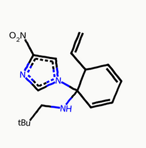 C=CC1C=CC=CC1(NCC(C)(C)C)n1cnc([N+](=O)[O-])c1